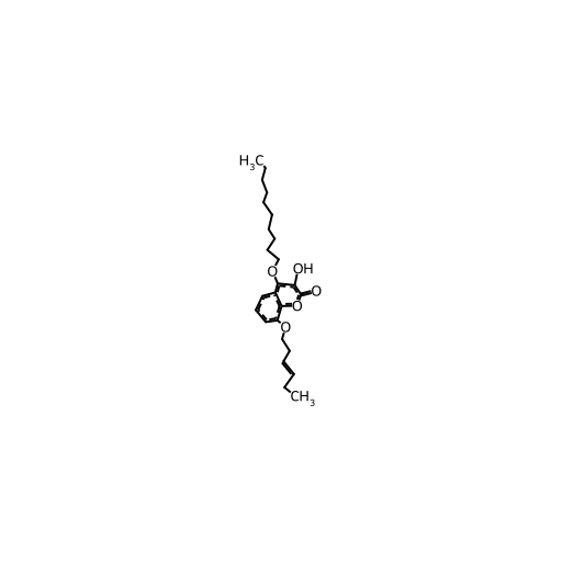 CCC=CCCOc1cccc2c(OCCCCCCCCCC)c(O)c(=O)oc12